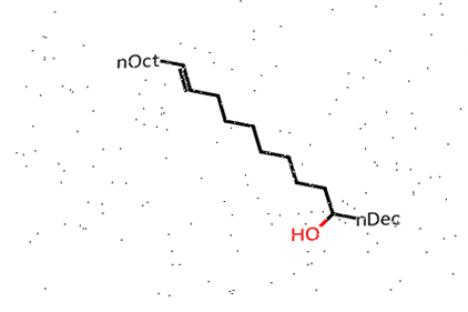 CCCCCCCCC=CCCCCCCCC(O)CCCCCCCCCC